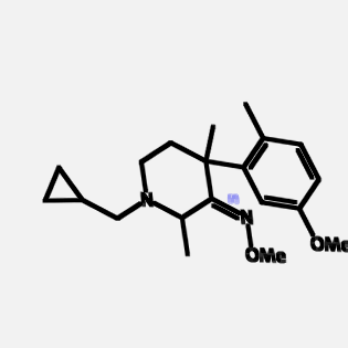 CO/N=C1\C(C)N(CC2CC2)CCC1(C)c1cc(OC)ccc1C